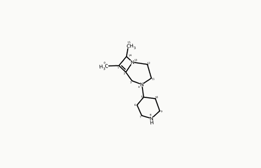 CC1=C2CN(C3CCNCC3)CCN2C1C